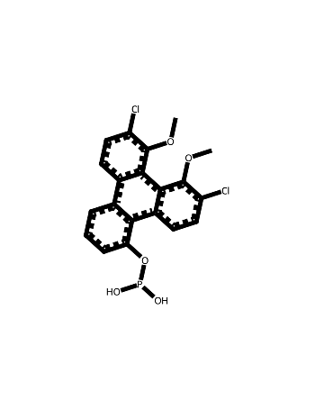 COc1c(Cl)ccc2c3cccc(OP(O)O)c3c3ccc(Cl)c(OC)c3c12